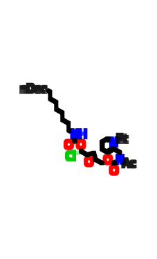 CCCCCCCCCCCCCCCCCCNC(=O)OCC1CC(COC(=O)N(Cc2cccc[n+]2CC)C(C)=O)O1.[Cl-]